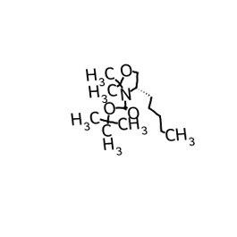 CCCCC[C@H]1COC(C)(C)N1C(=O)OC(C)(C)C